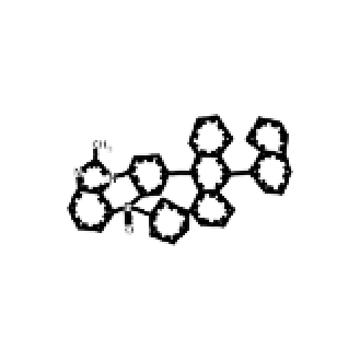 Cc1nc2cccc3c2n1-c1ccc(-c2c4ccccc4c(-c4cccc5ccccc45)c4ccccc24)cc1P3(=O)c1ccccc1